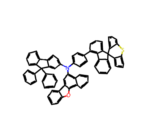 c1ccc(C2(c3ccccc3)c3ccccc3-c3ccc(N(c4ccc(-c5cccc6c5-c5ccccc5C65c6ccccc6Sc6ccccc65)cc4)c4cc5c6ccccc6oc5c5ccccc45)cc32)cc1